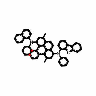 Cc1cc(N(c2ccccc2)c2cccc3ccccc23)c2c3ccccc3c3c(C)cc(N(c4ccccc4)c4cccc5c4oc4ccccc45)c4ccc1c2c43